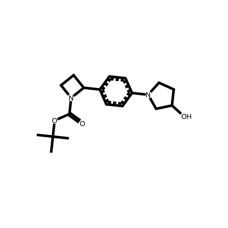 CC(C)(C)OC(=O)N1CCC1c1ccc(N2CCC(O)C2)cc1